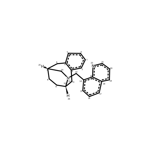 c1ccc2c(c1)C[C@H]1CC[C@@H](C2)N(Cc2cccc3cccnc23)C1